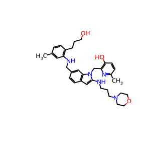 Cc1ccc(CCCO)c(NCc2ccc3cc(NCCCN4CCOCC4)n(Cc4nc(C)ccc4O)c3c2)c1